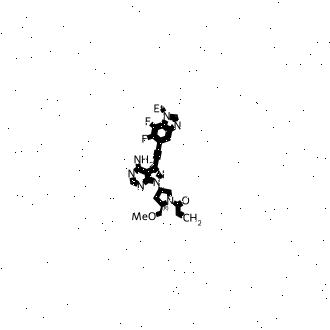 C=CC(=O)N1C[C@@H](n2nc(C#Cc3cc4ncn(CC)c4c(F)c3F)c3c(N)ncnc32)C[C@@H]1COC